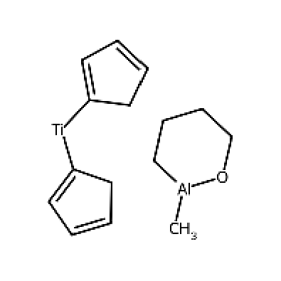 C1=CC[C]([Ti][C]2=CC=CC2)=C1.[CH3][Al]1[CH2]CCC[O]1